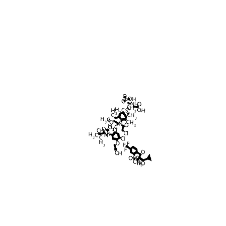 C#CCOc1cc(-n2nc(C(C)(C)C)oc2=O)c(Cl)cc1Cl.CCc1cccc(C)c1N(C(=O)CCl)C(C)COC.CS(=O)(=O)c1cc(C(F)(F)F)ccc1C(=O)c1cnoc1C1CC1.C[S+](C)C.O=C(O)CNCP(=O)([O-])O